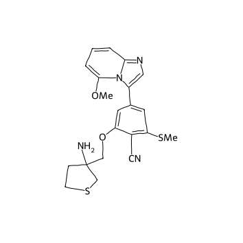 COc1cccc2ncc(-c3cc(OCC4(N)CCSC4)c(C#N)c(SC)c3)n12